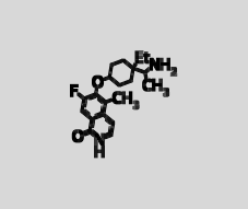 CCC1(C(C)N)CCC(Oc2c(F)cc3c(=O)[nH]ccc3c2C)CC1